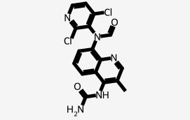 Cc1cnc2c(N(C=O)c3c(Cl)ccnc3Cl)cccc2c1NC(N)=O